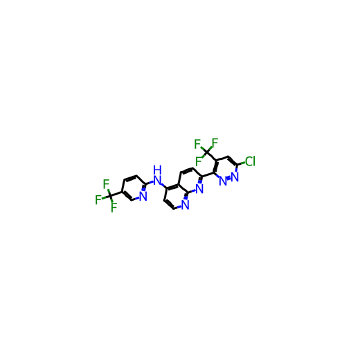 FC(F)(F)c1ccc(Nc2ccnc3nc(-c4nnc(Cl)cc4C(F)(F)F)ccc23)nc1